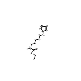 CCOC(=O)[C@@H](C)CCCCCCn1ccnc1